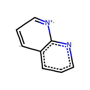 [C]1=CC=[N+]c2ncccc21